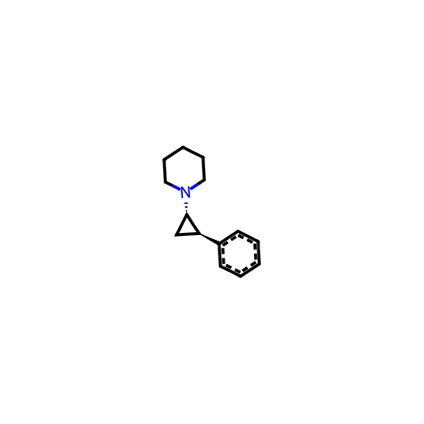 c1ccc([C@H]2C[C@@H]2N2CCCCC2)cc1